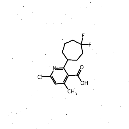 Cc1cc(Cl)nc(C2CCCC(F)(F)CC2)c1C(=O)O